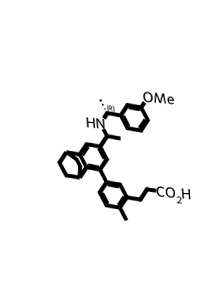 COc1cccc([C@@H](C)NC(C)c2cc(-c3ccc(C)c(CCC(=O)O)c3)c3c(c2)C2CCC3CC2)c1